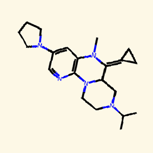 CC(C)N1CCN2c3ncc(N4CCCC4)cc3N(C)C(=C3CC3)C2C1